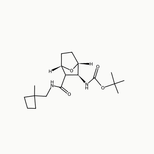 CC1(CNC(=O)C2[C@@H]3CC[C@@H](O3)[C@H]2NC(=O)OC(C)(C)C)CCC1